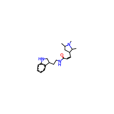 CC1CC(/C=C\C(=O)NCCC2CNc3ccccc32)C(C)N1C